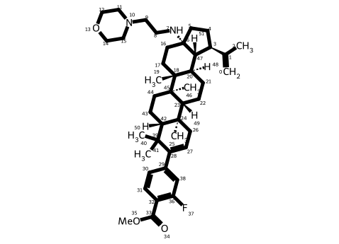 C=C(C)[C@@H]1CC[C@]2(NCCN3CCOCC3)CC[C@]3(C)[C@H](CC[C@@H]4[C@@]5(C)CC=C(c6ccc(C(=O)OC)c(F)c6)C(C)(C)[C@@H]5CC[C@]43C)[C@@H]12